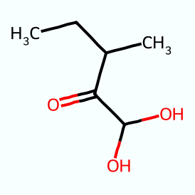 CCC(C)C(=O)C(O)O